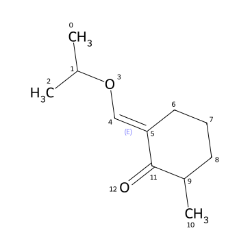 CC(C)O/C=C1\CCCC(C)C1=O